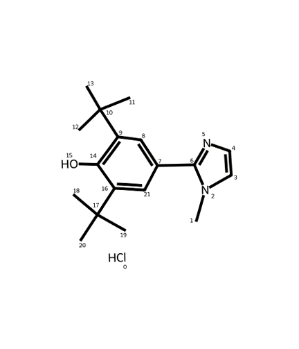 Cl.Cn1ccnc1-c1cc(C(C)(C)C)c(O)c(C(C)(C)C)c1